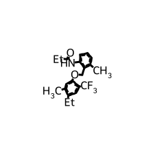 CCC(=O)Nc1cccc(C)c1COc1cc(C)c(CC)cc1C(F)(F)F